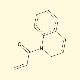 C=CC(=O)N1CC=Cc2ccccc21